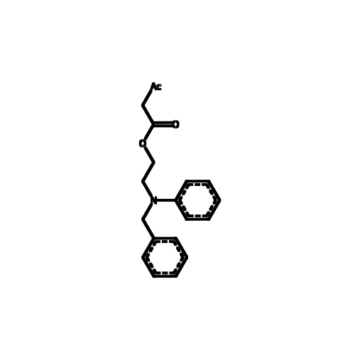 CC(=O)CC(=O)OCCN(Cc1ccccc1)c1ccccc1